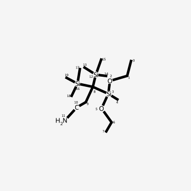 CCO[Si](C)(OCC)C(CCN)([Si](C)(C)C)[Si](C)(C)C